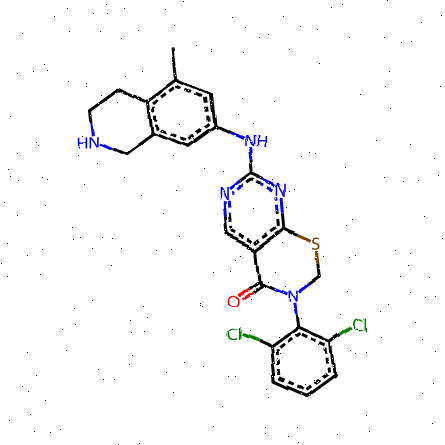 Cc1cc(Nc2ncc3c(n2)SCN(c2c(Cl)cccc2Cl)C3=O)cc2c1CCNC2